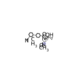 CO/N=C1/C[C@@H]([C@@H](O)C2CC2)N(C(=O)c2ccc(-c3cccc(C#N)c3C)cc2)C1